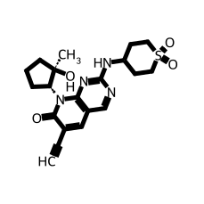 C#Cc1cc2cnc(NC3CCS(=O)(=O)CC3)nc2n([C@@H]2CCC[C@@]2(C)O)c1=O